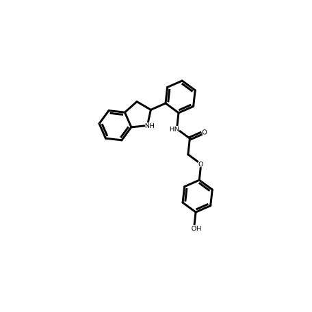 O=C(COc1ccc(O)cc1)Nc1ccccc1C1Cc2ccccc2N1